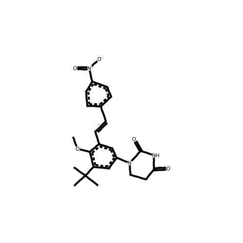 COc1c(/C=C/c2ccc([N+](=O)[O-])cc2)cc(N2CCC(=O)NC2=O)cc1C(C)(C)C